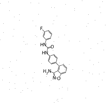 Nc1noc2cccc(-c3ccc(NC(=O)Nc4cccc(F)c4)cc3)c12